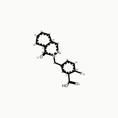 O=C(O)c1cc(Cn2ncc3ccccc3c2=O)ccc1F